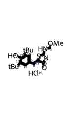 COCNC1=NC(=O)/C(=C/c2cc(C(C)(C)C)c(O)c(C(C)(C)C)c2)S1.Cl